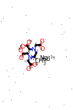 CC(CN(CC(=O)[O-])CC(=O)[O-])N(CC(=O)[O-])CC(=O)[O-].[Na+].[Sb+3]